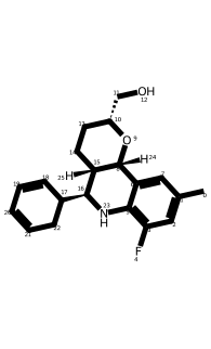 Cc1cc(F)c2c(c1)[C@H]1O[C@@H](CO)CC[C@H]1[C@H](C1C=CC=CC1)N2